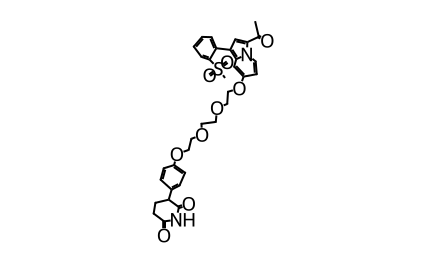 CC(=O)c1cc(-c2ccccc2S(C)(=O)=O)c2cc(OCCOCCOCCOc3ccc(C4CCC(=O)NC4=O)cc3)ccn12